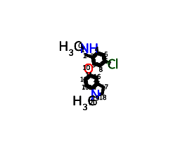 CNCc1ccc(Cl)cc1Oc1ccc2c(c1)CCN2C